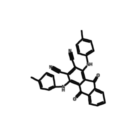 Cc1ccc(Nc2c(C#N)c(C#N)c(Nc3ccc(C)cc3)c3c2C(=O)c2ccccc2C3=O)cc1